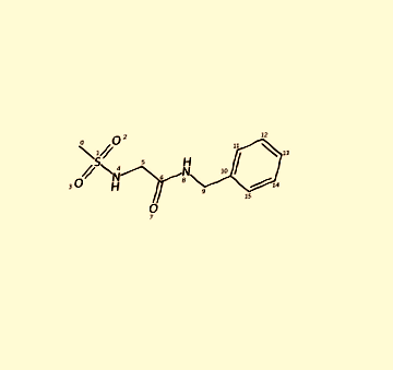 CS(=O)(=O)NCC(=O)NCc1ccccc1